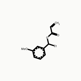 C=CC(=O)OC(CC)c1cccc(OC)c1